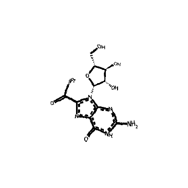 CC(C)C(=O)c1nc2c(=O)[nH]c(N)nc2n1[C@@H]1O[C@H](CO)[C@@H](O)[C@@H]1O